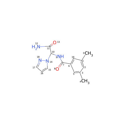 Cc1cc(C)cc(C(=O)NC(C(N)=O)n2cccn2)c1